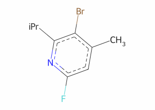 Cc1cc(F)nc(C(C)C)c1Br